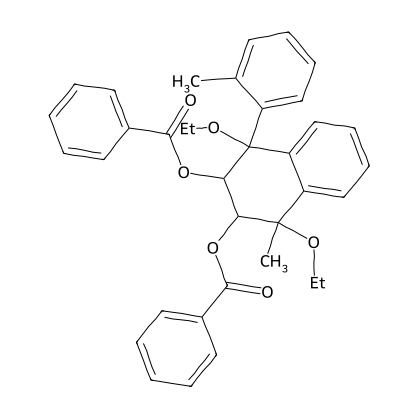 CCOC1(C)c2ccccc2C(OCC)(c2ccccc2C)C(OC(=O)c2ccccc2)C1OC(=O)c1ccccc1